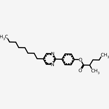 CCCCCCCCc1cnc(-c2ccc(OC(=O)C(C)CCC)cc2)nc1